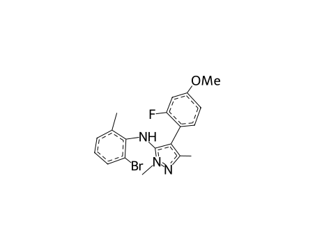 COc1ccc(-c2c(C)nn(C)c2Nc2c(C)cccc2Br)c(F)c1